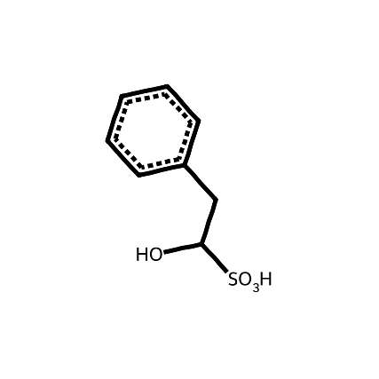 O=S(=O)(O)C(O)Cc1ccccc1